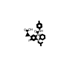 Cc1ccc(NC(=O)Nc2cc([C@H]3C[C@H]3C(=O)O)c(F)cc2N(CC(C)C)C2CCCCC2)cc1